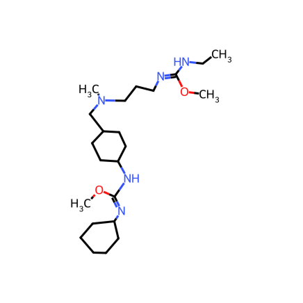 CCN/C(=N/CCCN(C)CC1CCC(N/C(=N/C2CCCCC2)OC)CC1)OC